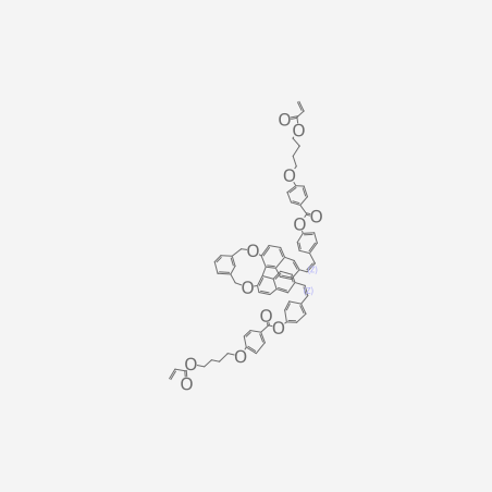 C=CC(=O)OCCCCOc1ccc(C(=O)Oc2ccc(/C=C\c3ccc4c5c(ccc4c3)OCc3cccc(c3)COc3ccc4cc(/C=C\c6ccc(OC(=O)c7ccc(OCCCCOC(=O)C=C)cc7)cc6)ccc4c3-5)cc2)cc1